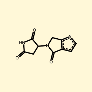 O=C1CC(N2Cc3sccc3C2=O)C(=O)N1